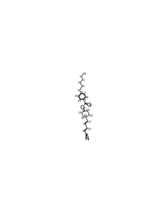 CCCCCCc1ccc(C(=O)OC2CCC(C=CC=CC#N)CC2)cc1